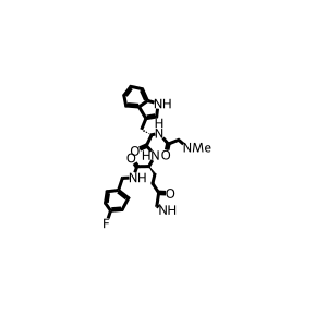 CNCC(=O)N[C@@H](Cc1c[nH]c2ccccc12)C(=O)N[C@@H](CCC(=O)C=N)C(=O)NCc1ccc(F)cc1